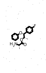 C[C@H](N)C(=O)O[C@@H](C)[C@H](Oc1ccccc1)c1ccc(F)cc1